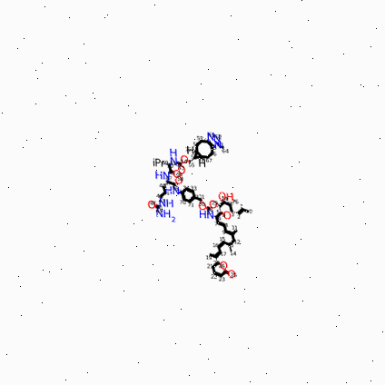 C/C=C/[C@@H]1O[C@H]([C@H](/C=C/C=C(\C)C[C@@H](C)/C=C\C=C(/C)[C@H]2CC=CC(=O)O2)NC(=O)OCc2ccc(NC(=O)[C@H](CCCNC(N)=O)NC(=O)[C@@H](NC(=O)OC[C@@H]3[C@@H]4CCc5nnn(C)c5CC[C@@H]43)C(C)C)cc2)C[C@@H](O)[C@@H]1C